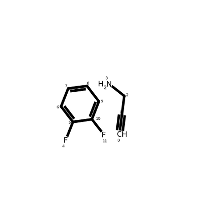 C#CCN.Fc1ccccc1F